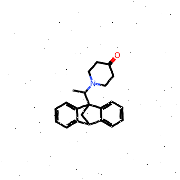 CC(N1CCC(=O)CC1)C12CC(c3ccccc31)c1ccccc12